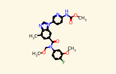 COCN(C(=O)c1cc(C)c2ncn(-c3ccc(NC(=O)OC)nc3)c2c1)c1ccc(F)c(OC)c1